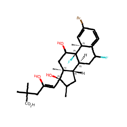 CC1C[C@H]2[C@@H]3CC(F)C4=C=CC(Br)=C[C@]4(C)[C@@]3(F)C(O)C[C@]2(C)[C@@]1(O)C=C(O)CC(C)(C)C(=O)O